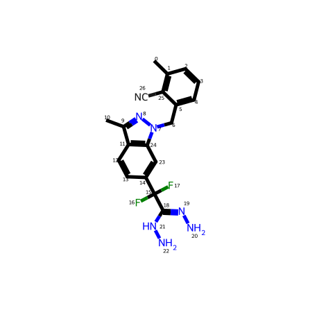 Cc1cccc(Cn2nc(C)c3ccc(C(F)(F)/C(=N/N)NN)cc32)c1C#N